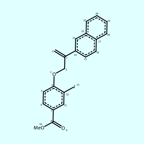 C=C(COc1ccc(C(=O)OC)cc1I)c1ccc2ccccc2c1